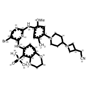 COc1cc(N2CCC(N3CC(CC#N)C3)CC2)c(C)cc1Nc1ncc(Br)c(Nc2ccc3c(c2P(C)(C)=O)OCCO3)n1